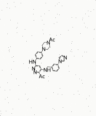 CC(=O)c1nnc(Nc2ccc(N3CCN(C(C)=O)CC3)cc2)cc1NCc1cccc(-n2ccnc2)c1